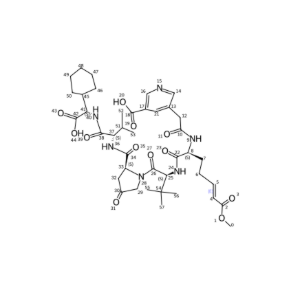 COC(=O)/C=C/CC[C@H](NC(=O)Cc1cncc(C(=O)O)c1)C(=O)N[C@H](C(=O)N1CC(=O)C[C@H]1C(=O)N[C@H](C(=O)N[C@H](C(=O)O)C1CCCCC1)C(C)C)C(C)(C)C